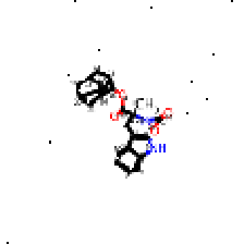 C[C@](Cc1c[nH]c2ccccc12)(C(=O)OC1C2CC3CC(C2)CC1C3)N1OC1=O